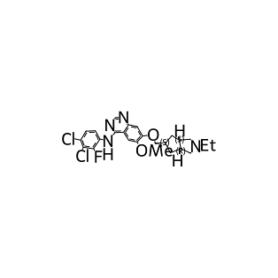 CCN1C[C@H]2C[C@H](COc3cc4ncnc(Nc5ccc(Cl)c(Cl)c5F)c4cc3OC)C[C@H]2C1